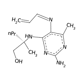 C=C/C=N\c1c(C)nc(N)nc1N[C@@](C)(CO)CCC